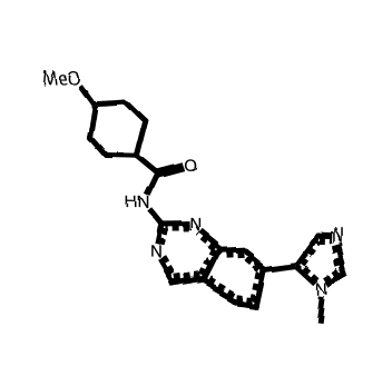 COC1CCC(C(=O)Nc2ncc3ccc(-c4cncn4C)cc3n2)CC1